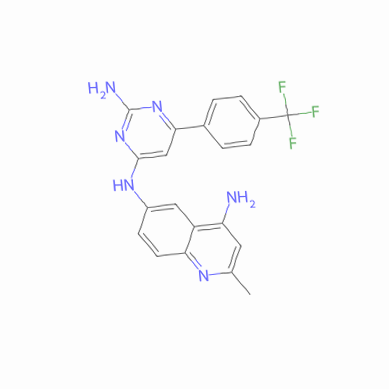 Cc1cc(N)c2cc(Nc3cc(-c4ccc(C(F)(F)F)cc4)nc(N)n3)ccc2n1